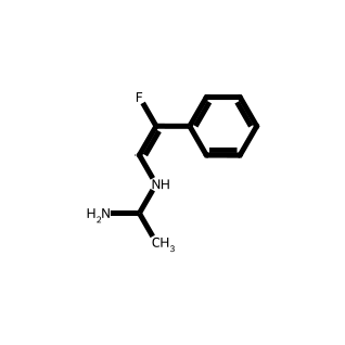 CC(N)N/[C]=C(/F)c1ccccc1